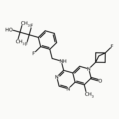 Cc1c(=O)n(C23CC(F)(C2)C3)cc2c(NCc3cccc(C(F)(F)C(C)(C)O)c3F)ncnc12